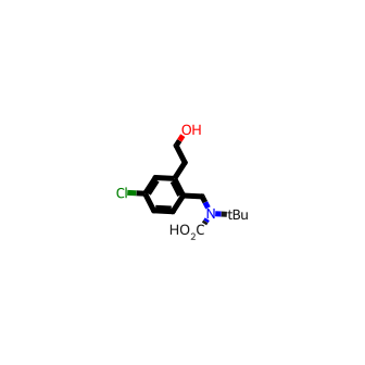 CC(C)(C)N(Cc1ccc(Cl)cc1CCO)C(=O)O